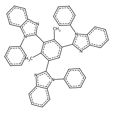 Cc1c(-c2nc3ccccc3n2-c2ccccc2)cc(-c2nc3ccccc3n2-c2ccccc2)c(C)c1-c1nc2ccccc2n1-c1ccccc1